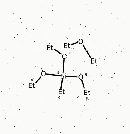 CCOCC.CCO[Si](CC)(OCC)OCC